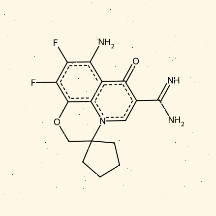 N=C(N)c1cn2c3c(c(F)c(F)c(N)c3c1=O)OCC21CCCC1